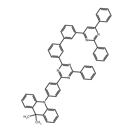 CC1(C)c2ccccc2N(c2ccc(-c3nc(-c4ccccc4)nc(-c4cccc(-c5cccc(-c6cc(-c7ccccc7)nc(-c7ccccc7)n6)c5)c4)n3)cc2)c2ccccc21